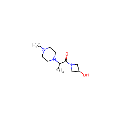 CC(C(=O)N1CC(O)C1)N1CCN(C)CC1